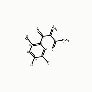 C=C(C(=O)OC)C(=O)c1cc(F)c(Cl)cc1Cl